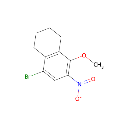 COc1c([N+](=O)[O-])cc(Br)c2c1CCCC2